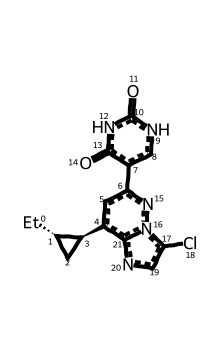 CC[C@H]1C[C@@H]1c1cc(-c2c[nH]c(=O)[nH]c2=O)nn2c(Cl)cnc12